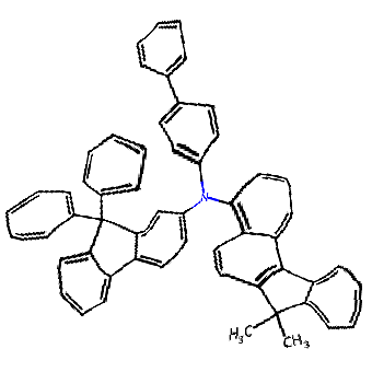 CC1(C)c2ccccc2-c2c1ccc1c(N(c3ccc(-c4ccccc4)cc3)c3ccc4c(c3)C(c3ccccc3)(c3ccccc3)c3ccccc3-4)cccc21